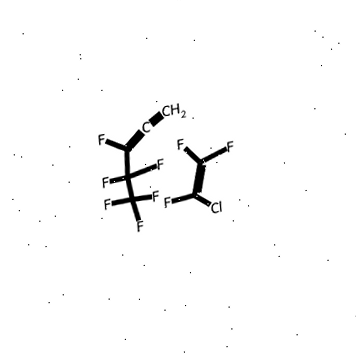 C=C=C(F)C(F)(F)C(F)(F)F.FC(F)=C(F)Cl